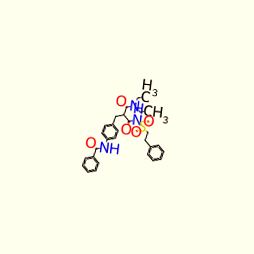 CCN(CC)C(=O)C(Cc1ccc(NC(=O)c2ccccc2)cc1)C(=O)NS(=O)(=O)CCc1ccccc1